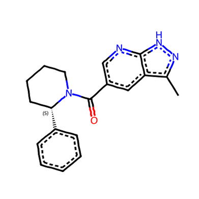 Cc1n[nH]c2ncc(C(=O)N3CCCC[C@H]3c3ccccc3)cc12